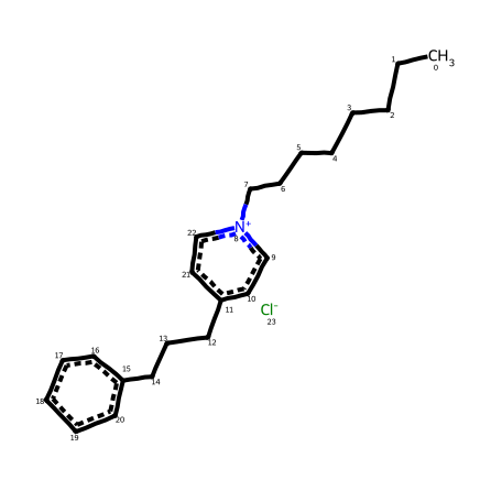 CCCCCCCC[n+]1ccc(CCCc2ccccc2)cc1.[Cl-]